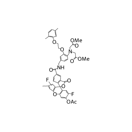 COC(=O)CN(CC(=O)OC)c1ccc(CNC(=O)c2ccc3c(c2)C(=O)OC32c3cc(F)c(C)cc3Oc3cc(OC(C)=O)c(F)cc32)cc1OCCOc1cc(C)ccc1C